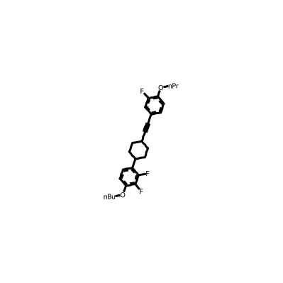 CCCCOc1ccc(C2CCC(C#Cc3ccc(OCCC)c(F)c3)CC2)c(F)c1F